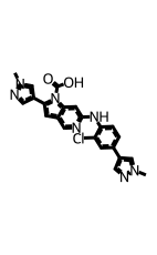 Cn1cc(-c2ccc(Nc3cc4c(cn3)cc(-c3cnn(C)c3)n4C(=O)O)c(Cl)c2)cn1